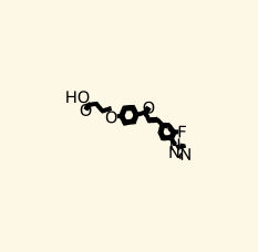 O=C(O)CCCOc1ccc(C(=O)/C=C/c2ccc(-n3cncn3)c(F)c2)cc1